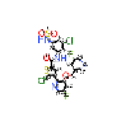 CS(=O)(=O)Nc1cc(Cl)cc(NC(=O)c2cc(-c3ncc(F)cc3OCc3cncc(F)c3)c(Cl)s2)c1